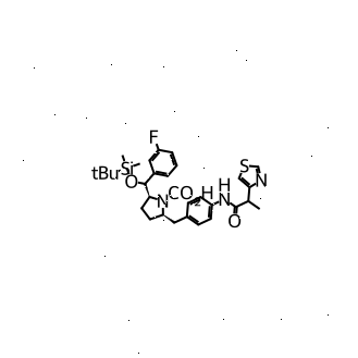 CC(C(=O)Nc1ccc(C[C@H]2CC[C@@H](C(O[Si](C)(C)C(C)(C)C)c3cccc(F)c3)N2C(=O)O)cc1)c1cscn1